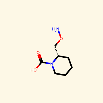 NOC[C@@H]1CCCCN1C(=O)O